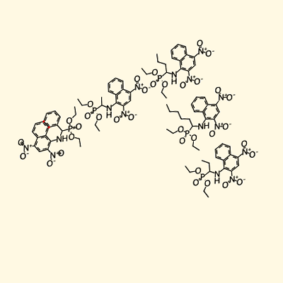 CCCC(Nc1c([N+](=O)[O-])cc([N+](=O)[O-])c2ccccc12)P(=O)(OCC)OCC.CCCCCC(Nc1c([N+](=O)[O-])cc([N+](=O)[O-])c2ccccc12)P(=O)(OCC)OCC.CCOP(=O)(OCC)C(C)Nc1c([N+](=O)[O-])cc([N+](=O)[O-])c2ccccc12.CCOP(=O)(OCC)C(CC)Nc1c([N+](=O)[O-])cc([N+](=O)[O-])c2ccccc12.CCOP(=O)(OCC)C(Nc1c([N+](=O)[O-])cc([N+](=O)[O-])c2ccccc12)c1ccccc1